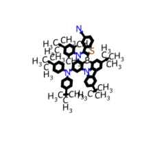 Cc1cc(C(C)(C)C)cc(C)c1N1c2cc(N(c3ccc(C(C)(C)C)cc3)c3ccc(C(C)(C)C)cc3)cc3c2B(c2sc4ccc(C#N)cc4c21)c1cc(C(C)(C)C)cc2c4cc(C(C)(C)C)ccc4n-3c12